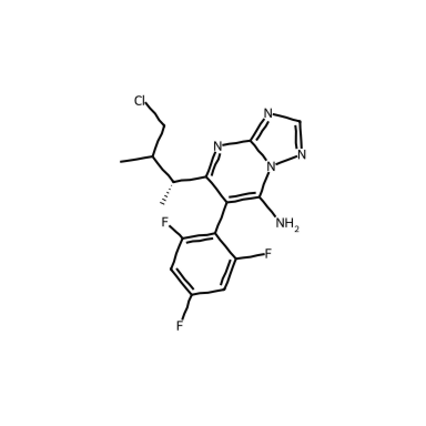 CC(CCl)[C@@H](C)c1nc2ncnn2c(N)c1-c1c(F)cc(F)cc1F